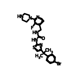 CC(C)(c1ccc(Br)cc1)c1csc(NC(=O)NCc2ccnc(N3CCNCC3)c2F)n1